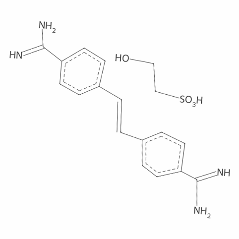 N=C(N)c1ccc(/C=C/c2ccc(C(=N)N)cc2)cc1.O=S(=O)(O)CCO